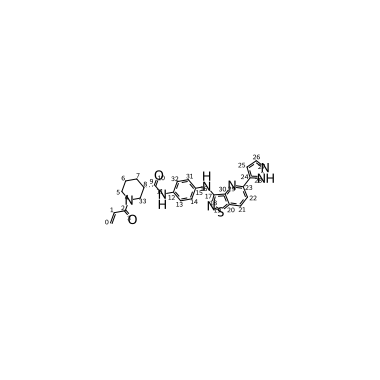 C=CC(=O)N1CCC[C@H](C(=O)Nc2ccc(Nc3nsc4ccc(-c5ccn[nH]5)nc34)cc2)C1